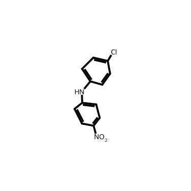 O=[N+]([O-])c1ccc(Nc2ccc(Cl)cc2)cc1